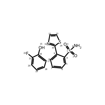 NS(=O)(=O)c1ccccc1-c1nccs1.Oc1ccccc1F